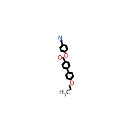 CCCOc1ccc(-c2ccc(C(=O)Oc3ccc(C#N)cc3)cc2)cc1